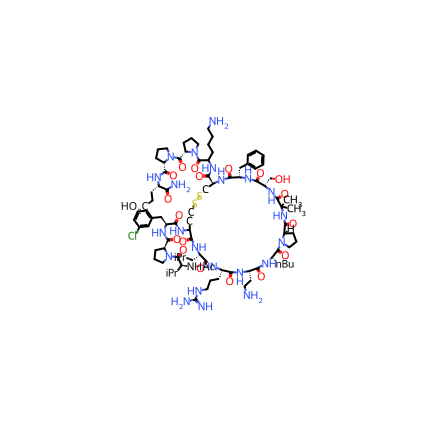 CCCC[C@@H]1NC(=O)[C@H](CCN)NC(=O)[C@H](CCCNC(=N)N)NC(=O)[C@H](CC(C)C)NC(=O)C(NC(=O)[C@H](Cc2cccc(Cl)c2)NC(=O)[C@@H]2CCCN2C(=O)[C@@H](NC(C)=O)C(C)C)CCSSC[C@@H](C(=O)NC(CCCCN)C(=O)N2CCC[C@H]2C(=O)N2CCC[C@H]2C(=O)N[C@@H](CCC(=O)O)C(N)=O)NC(=O)[C@H](Cc2ccccc2)NC(=O)[C@H](CO)NC(=O)C(C)(C)NC(=O)[C@@H]2CCCN2C1=O